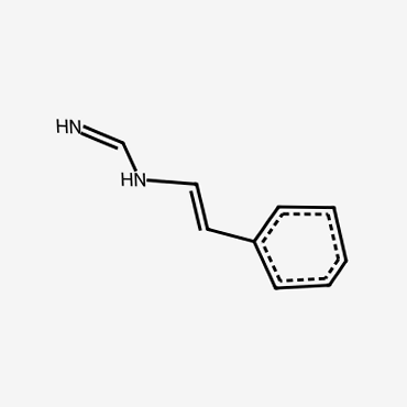 N=CN/C=C/c1ccccc1